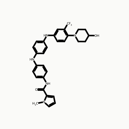 Cn1cccc1C(=O)Nc1ccc(Nc2ccc(Nc3ccc(N4CCC(O)CC4)c(C(F)(F)F)c3)cc2)cc1